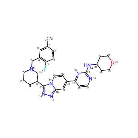 N#Cc1ccc(F)c(CN2CCCC(c3nnc4cc(-c5ccnc(NC6CCOCC6)n5)ccn34)C2)c1